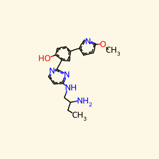 CCC(N)CNc1ccnc(-c2cc(-c3ccc(OC)nc3)ccc2O)n1